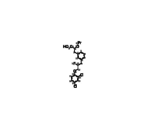 CC(C)OC(Cc1cccc(CC(F)COc2ccc(Cl)cc2Cl)c1)C(=O)O